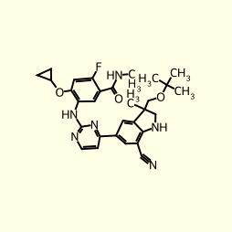 CNC(=O)c1cc(Nc2nccc(-c3cc(C#N)c4c(c3)C(C)(COC(C)(C)C)CN4)n2)c(OC2CC2)cc1F